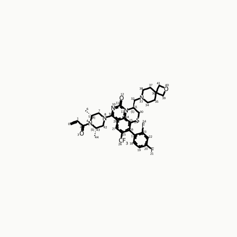 C=CC(=O)N1[C@H](C)CN(c2nc(=O)n3c4c(c(-c5ccc(F)cc5F)c(C(F)(F)F)cc24)SC[C@@H]3CN2CCC3(CC2)COC3)C[C@@H]1C